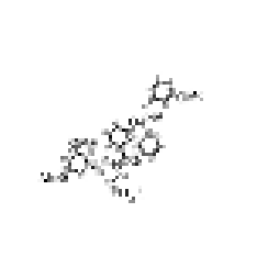 COc1cccc(CNC(=O)c2ccccc2-c2ccccc2C(=O)N(CCC(=O)O)CCc2cc(OC)cc(OC)c2)c1